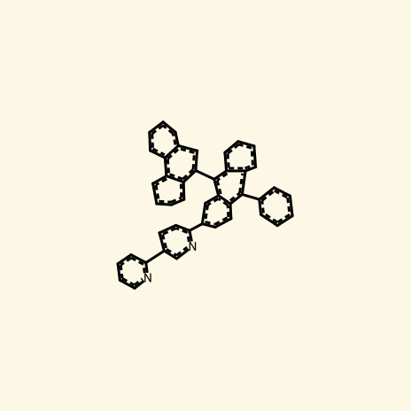 c1ccc(-c2c3ccccc3c(-c3cc4ccccc4c4ccccc34)c3cc(-c4ccc(-c5ccccn5)cn4)ccc23)cc1